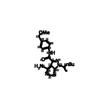 CCCCC(C)n1nc(C(=O)Nc2ccc(COC)cc2)c2c(N)ncnc21